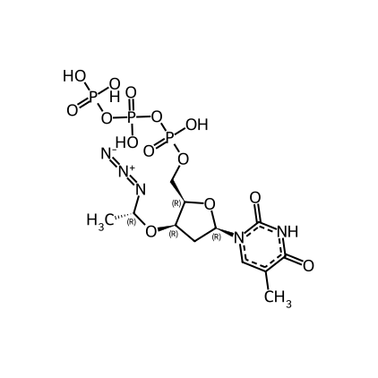 Cc1cn([C@H]2C[C@@H](O[C@H](C)N=[N+]=[N-])[C@@H](COP(=O)(O)OP(=O)(O)OP(=O)(O)O)O2)c(=O)[nH]c1=O